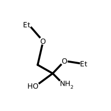 CCOCC(N)(O)OCC